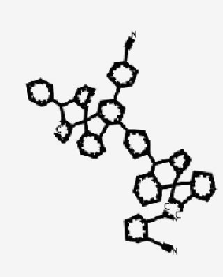 N#Cc1ccc(-c2cc(-c3ccc(C4c5ccccc5C5(c6ccccc6-c6ccc(-c7ccccc7C#N)cc65)c5ccccc54)cc3)c3c(c2)C2(c4ccccc4-3)c3ccccc3C(c3ccccc3)c3ccccc32)cc1